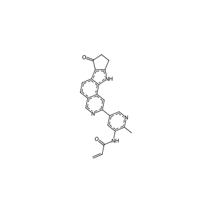 C=CC(=O)Nc1cc(-c2cc3c(ccc4c5c([nH]c43)CCC5=O)cn2)cnc1C